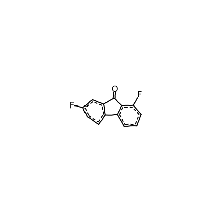 O=C1c2cc(F)ccc2-c2cccc(F)c21